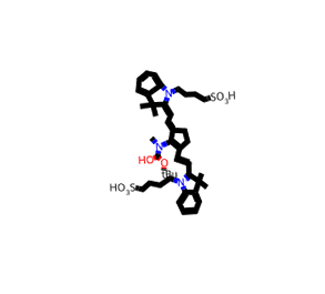 CN(C1=C(/C=C/C2=[N+](CCCCS(=O)(=O)O)c3ccccc3C2(C)C)CC/C1=C\C=C1\N(CCCCS(=O)(=O)O)c2ccccc2C1(C)C)C(O)OC(C)(C)C